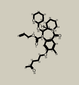 C=CCOC(=O)N1c2cc(OCCCC(C)=O)c(C)cc2C(=O)N2CCCC[C@H]2C1OC1CCCCO1